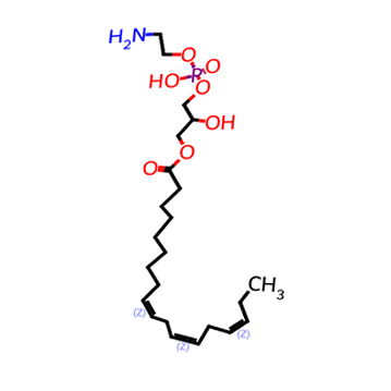 CC/C=C\C/C=C\C/C=C\CCCCCCCC(=O)OCC(O)COP(=O)(O)OCCN